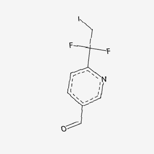 O=Cc1ccc(C(F)(F)CI)nc1